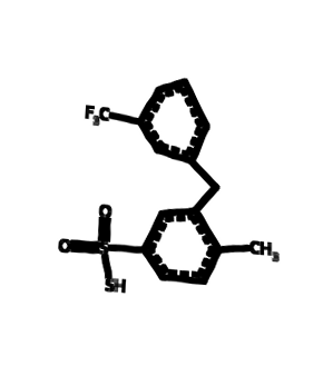 Cc1ccc(S(=O)(=O)S)cc1Cc1cccc(C(F)(F)F)c1